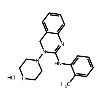 Cc1ccccc1NC1=Nc2ccccc2CN1N1CCOCC1.Cl